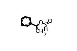 CC(O[SH]=O)c1ccccc1